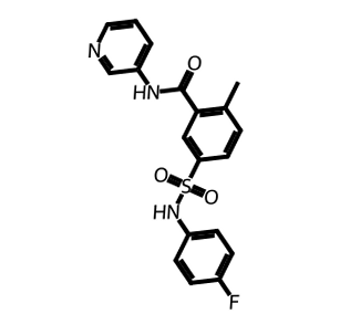 Cc1ccc(S(=O)(=O)Nc2ccc(F)cc2)cc1C(=O)Nc1cccnc1